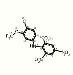 O=C(O)c1cc([N+](=O)[O-])cc([N+](=O)[O-])c1Nc1ccc(Cl)c(OC(F)(F)F)c1